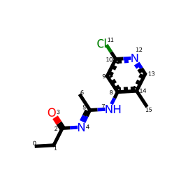 CCC(=O)/N=C(\C)Nc1cc(Cl)ncc1C